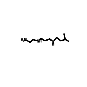 CC(C)CCNCCCNCCN